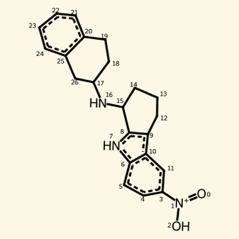 O=[N+](O)c1ccc2[nH]c3c(c2c1)CCCC3NC1CCc2ccccc2C1